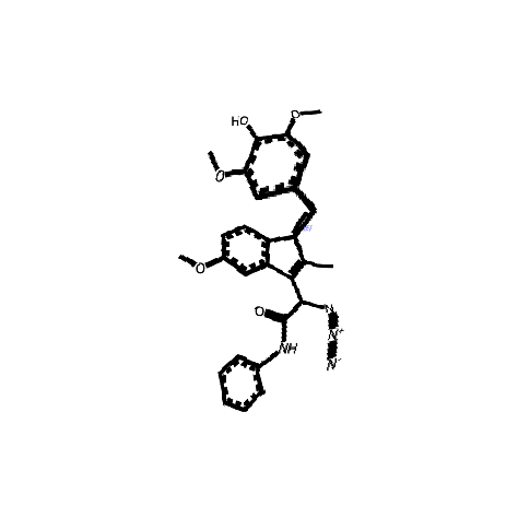 COc1ccc2c(c1)C(C(N=[N+]=[N-])C(=O)Nc1ccccc1)=C(C)/C2=C/c1cc(OC)c(O)c(OC)c1